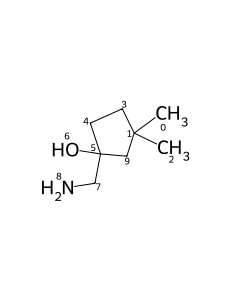 CC1(C)CCC(O)(CN)C1